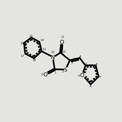 O=C1SC(=Cc2ccco2)C(=O)N1c1ccccc1